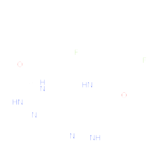 O=C(Nc1c[nH]nc1-c1n[nH]c(=O)[nH]1)c1c(F)cccc1F